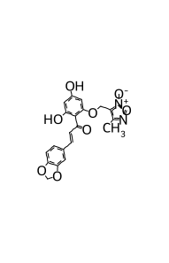 Cc1no[n+]([O-])c1COc1cc(O)cc(O)c1C(=O)/C=C/c1ccc2c(c1)OCO2